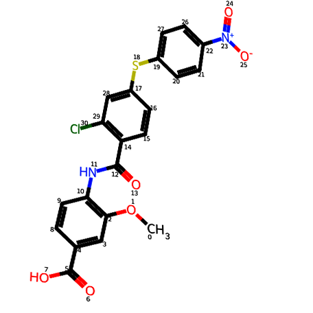 COc1cc(C(=O)O)ccc1NC(=O)c1ccc(Sc2ccc([N+](=O)[O-])cc2)cc1Cl